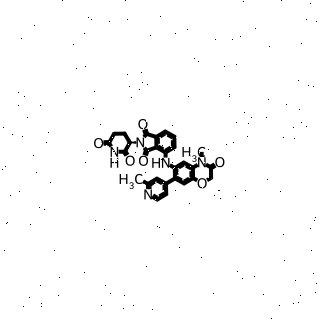 Cc1cc(-c2cc3c(cc2Nc2cccc4c2C(=O)N([C@@H]2CCC(=O)NC2=O)C4=O)N(C)C(=O)CO3)ccn1